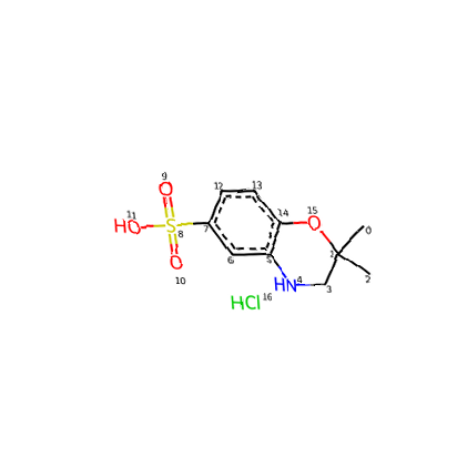 CC1(C)CNc2cc(S(=O)(=O)O)ccc2O1.Cl